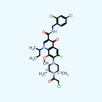 CCC(C)n1cc(C(=O)NCc2ccc(Cl)cc2Cl)c(=O)c2cc(F)c(N3C[C@@H](C)N(C(=O)CCl)[C@@H](C)C3)c(OC)c21